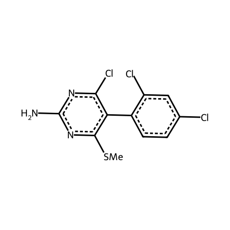 CSc1nc(N)nc(Cl)c1-c1ccc(Cl)cc1Cl